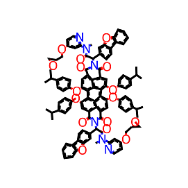 CC(C)c1ccc(Oc2cc3c4c(cc(Oc5ccc(C(C)C)cc5)c5c6c(Oc7ccc(C(C)C)cc7)cc7c8c(cc(Oc9ccc(C(C)C)cc9)c(c2c45)c86)C(=O)N(C(C(=O)N(C)c2cc(OCC4CO4)ccn2)c2ccc4c(c2)oc2ccccc24)C7=O)C(=O)N(C(C(=O)N(C)c2cc(OCC4CO4)ccn2)c2ccc4c(c2)oc2ccccc24)C3=O)cc1